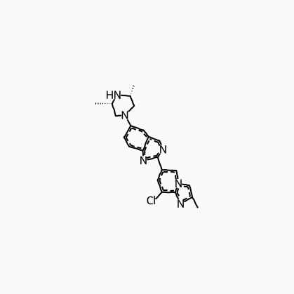 Cc1cn2cc(-c3ncc4cc(N5C[C@@H](C)N[C@@H](C)C5)ccc4n3)cc(Cl)c2n1